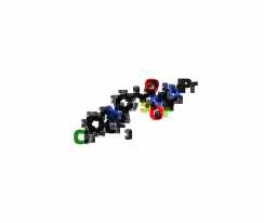 CC(C)N1C[C@@H](N2C(=O)SC(=Cc3ccc4c(cnn4Cc4ccc(Cl)cc4C(F)(F)F)c3)C2=O)[C@@H](F)C1